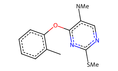 CNc1cnc(SC)nc1Oc1ccccc1C